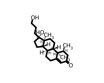 C[C@H]1CC(=O)C=C2CC[C@@H]3[C@H](CC[C@@]4(C)[C@H]3CC[C@@]4(O)CCCO)[C@]21C